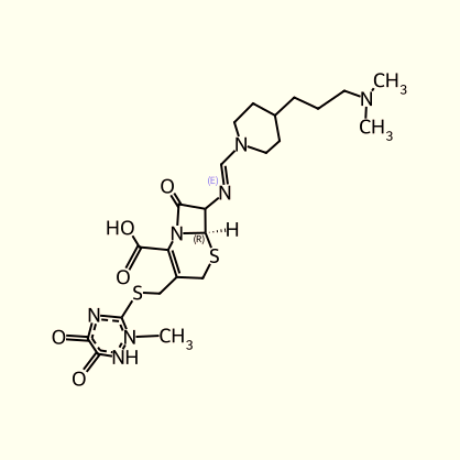 CN(C)CCCC1CCN(/C=N/C2C(=O)N3C(C(=O)O)=C(CSc4nc(=O)c(=O)[nH]n4C)CS[C@H]23)CC1